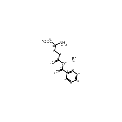 N[C@@H](CCC(=O)OC(=O)c1ccccc1)C(=O)[O-].[K+]